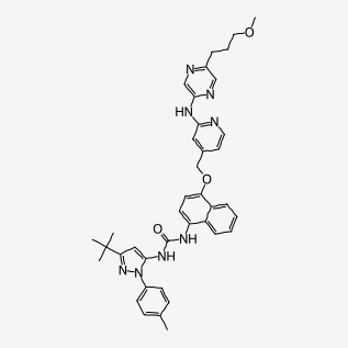 COCCCc1cnc(Nc2cc(COc3ccc(NC(=O)Nc4cc(C(C)(C)C)nn4-c4ccc(C)cc4)c4ccccc34)ccn2)cn1